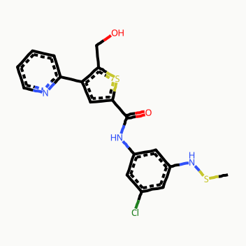 CSNc1cc(Cl)cc(NC(=O)c2cc(-c3ccccn3)c(CO)s2)c1